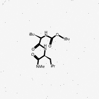 CC[C@H](C)C(NC(=O)OC(C)(C)C)C(=O)N[C@@H](CC(C)C)C(=O)NC